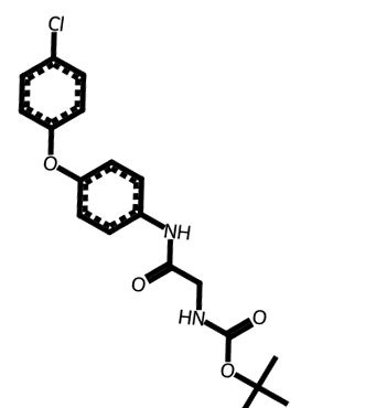 CC(C)(C)OC(=O)NCC(=O)Nc1ccc(Oc2ccc(Cl)cc2)cc1